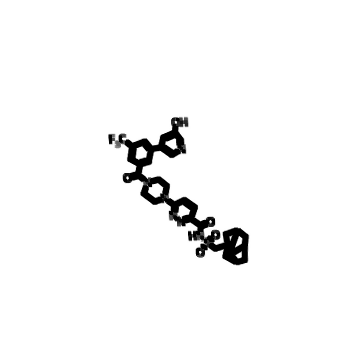 O=C(NS(=O)(=O)CC12CC3CC(CC(C3)C1)C2)c1ccc(N2CCN(C(=O)c3cc(-c4cncc(O)c4)cc(C(F)(F)F)c3)CC2)nn1